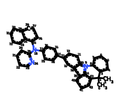 CC1(C)c2ccccc2-n2c3ccc(-c4ccc(N(c5ccccn5)c5cccc6ccccc56)cc4)cc3c3cccc1c32